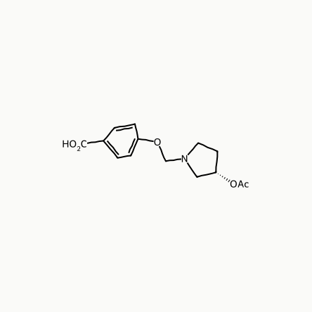 CC(=O)O[C@H]1CCN(COc2ccc(C(=O)O)cc2)C1